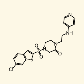 O=C1CN(S(=O)(=O)c2cc3ccc(Cl)cc3s2)CCN1CCNc1ccncc1